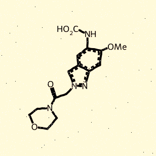 COc1cc2nn(CC(=O)N3CCOCC3)cc2cc1NC(=O)O